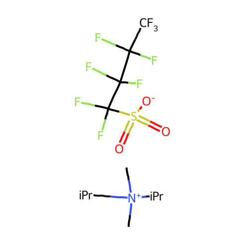 CC(C)[N+](C)(C)C(C)C.O=S(=O)([O-])C(F)(F)C(F)(F)C(F)(F)C(F)(F)F